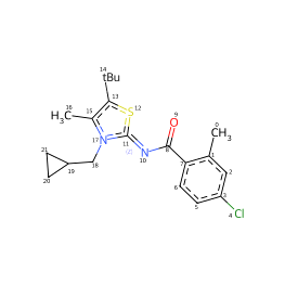 Cc1cc(Cl)ccc1C(=O)/N=c1\sc(C(C)(C)C)c(C)n1CC1CC1